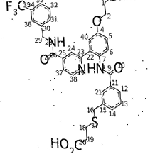 COCCOc1ccc(NC(=O)c2cccc(CSCCC(=O)O)c2)c(-c2cc(C(=O)NCc3cccc(C(F)(F)F)c3)ccn2)c1